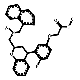 COC(=O)COc1ccc(F)c(C2CC(CN(C)Cc3cccc4ccccc34)Oc3ccccc32)c1